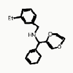 [CH2]Cc1cccc(CNC(C2=CC=CCC2)C2=COC=CO2)c1